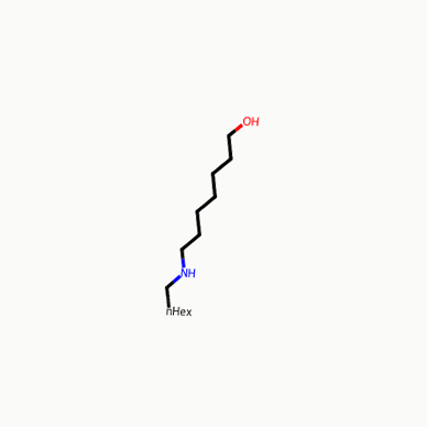 CCCCCCCNCCCCCCCO